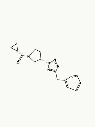 O=C(C1CC1)N1CC[C@H](n2nnc(Cc3ccccc3)n2)C1